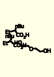 CCCCC(CC)C(=O)O.CCCCC(CC)C(=O)O.OCCOCCO